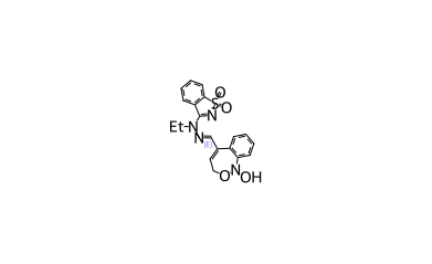 CCN(/N=C/C1=CCON(O)c2ccccc21)C1=NS(=O)(=O)c2ccccc21